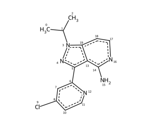 CC(C)n1nc(-c2cc(Cl)ccn2)c2c(N)nccc21